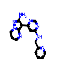 Nc1nn2cccnc2c1-c1cc(NCc2ccccn2)ncn1